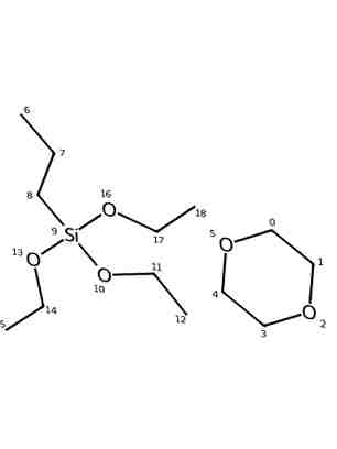 C1COCCO1.CCC[Si](OCC)(OCC)OCC